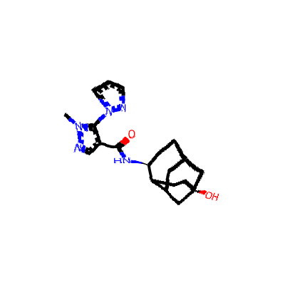 Cn1ncc(C(=O)N[C@H]2CCC3CC4C[C@@](O)(C3)CC42)c1-n1cccn1